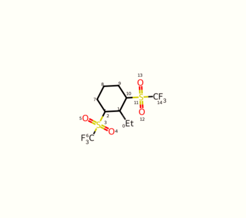 CCC1[C](S(=O)(=O)C(F)(F)F)CCCC1S(=O)(=O)C(F)(F)F